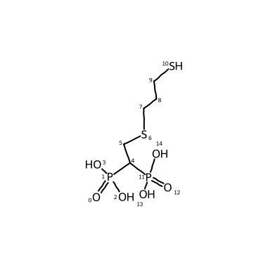 O=P(O)(O)C(CSCCCS)P(=O)(O)O